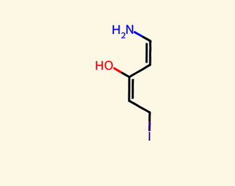 N/C=C\C(O)=C/CI